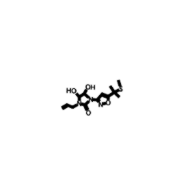 C=CCN1C(=O)N(c2cc(C(C)(C)SC)on2)C(O)C1O